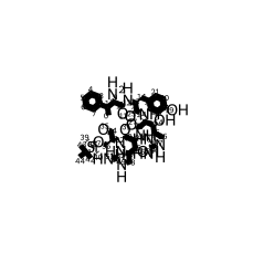 CC(c1ccccc1)[C@H](N)C(=O)N[C@@H](Cc1ccc(O)cc1)C(=O)N[C@H](C(=O)N[C@H](C(=O)N[C@H]([C]=O)CO[Si](C)(C)C(C)(C)C)C(O)C1CNC(=N)N1)C(O)C1CNC(=N)N1